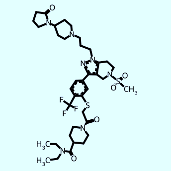 CCN(CC)C(=O)C1CCN(C(=O)CSc2cc(-c3nn(CCCN4CCC(N5CCCC5=O)CC4)c4c3CN(S(C)(=O)=O)CC4)ccc2C(F)(F)F)CC1